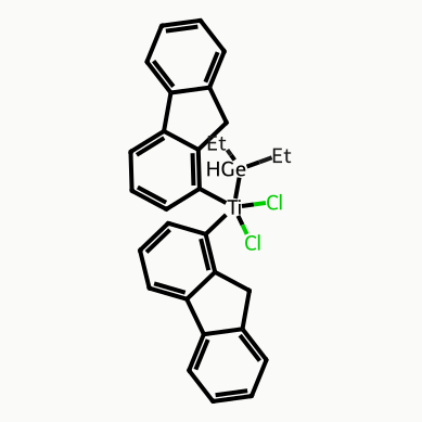 C[CH2][GeH]([CH2]C)[Ti]([Cl])([Cl])([c]1cccc2c1Cc1ccccc1-2)[c]1cccc2c1Cc1ccccc1-2